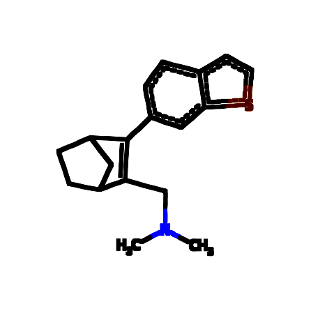 CN(C)CC1=C(c2ccc3ccsc3c2)C2CCC1C2